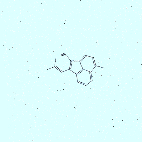 CCC[N+]1=C(C=C(C)C)c2cccc3c(C)ccc1c23